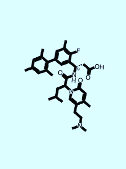 Cc1cc(C)c(-c2cc(C)c(F)c([C@H](CC(=O)O)NC(=O)C(CC(C)C)n3cc(CCN(C)C)c(C)cc3=O)c2)c(C)c1